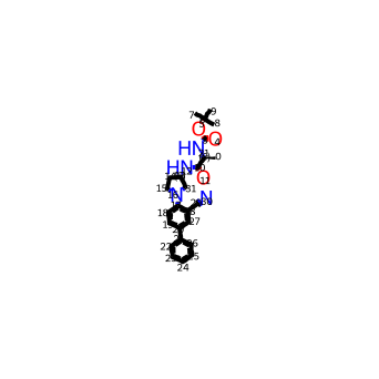 C[C@H](NC(=O)OC(C)(C)C)C(=O)N[C@H]1CCN(c2ccc(-c3ccccc3)cc2C#N)C1